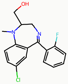 CN1c2ccc(Cl)cc2C(c2ccccc2F)=NCC1CO